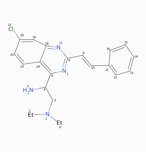 CCN(CC)CC(N)c1nc(C=Cc2ccccc2)nc2cc(Cl)ccc12